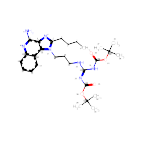 CCCCc1nc2c(N)nc3ccccc3c2n1CCCNC(=NC(=O)OC(C)(C)C)NC(=O)OC(C)(C)C